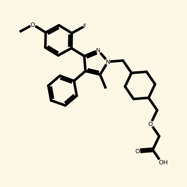 COc1ccc(-c2nn(CC3CCC(COCC(=O)O)CC3)c(C)c2-c2ccccc2)c(F)c1